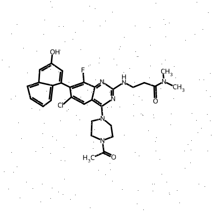 CC(=O)N1CCN(c2nc(NCCC(=O)N(C)C)nc3c(F)c(-c4cc(O)cc5ccccc45)c(Cl)cc23)CC1